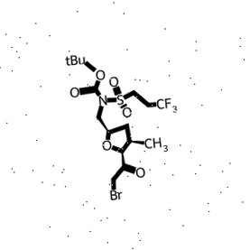 C[C@@H]1C[C@H](CN(C(=O)OC(C)(C)C)S(=O)(=O)CCC(F)(F)F)O[C@@H]1C(=O)CBr